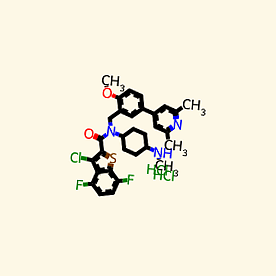 CNC1CCC(N(Cc2cc(-c3cc(C)nc(C)c3)ccc2OC)C(=O)c2sc3c(F)ccc(F)c3c2Cl)CC1.Cl.Cl